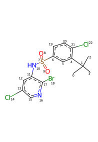 CC(C)(C)c1cc(S(=O)(=O)Nc2cc(Cl)cnc2Br)ccc1Cl